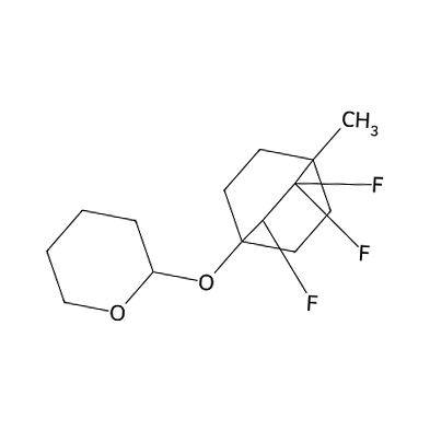 CC12CCC(OC3CCCCO3)(CC1)C(F)C2(F)F